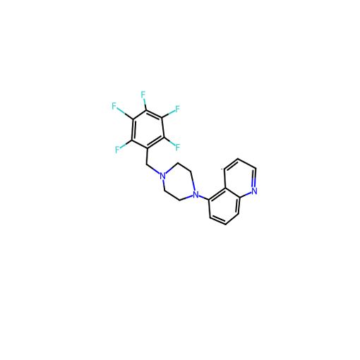 Fc1c(F)c(F)c(CN2CCN(c3cccc4ncc[c]c34)CC2)c(F)c1F